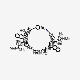 CN[C@@H](C)C(=O)N[C@H](C(=O)N1CC[C@H]2OCc3cn(nn3)CC[C@@H](C(=O)OC)NC(=O)[C@H](Cc3ccc4ccccc4c3)NC(=O)[C@@H]3[C@@H](CCN3C(=O)[C@@H](NC(=O)[C@H](C)NC)C(C)(C)C)OC/C=C/COc3ccc(cc3)C[C@@H](C(=O)O)NC(=O)[C@H](Cc3ccc4ccccc4c3)NC(=O)[C@H]21)C(C)(C)C